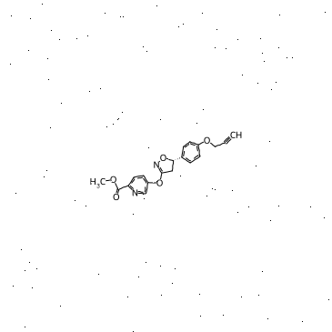 C#CCOc1ccc([C@@H]2CC(Oc3ccc(C(=O)OC)nc3)=NO2)cc1